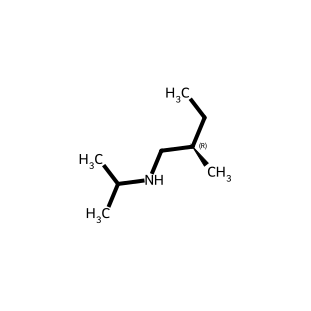 CC[C@@H](C)CNC(C)C